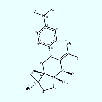 CCC/C(C)=C1/[C@@H](C)[C@@H]2CC[C@](C)(CCC)[C@]2(C)C[C@@H]1c1ccc(N(C)C)cc1